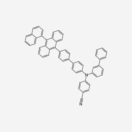 N#Cc1ccc(N(c2ccc(-c3ccc(-c4c5ccccc5c(-c5cccc6ccccc56)c5ccccc45)cc3)cc2)c2cccc(-c3ccccc3)c2)cc1